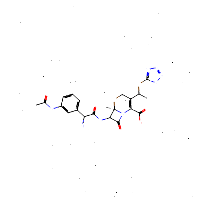 CC(=O)Nc1cccc(C(N)C(=O)NC2C(=O)N3C(C(=O)O)=C(C(C)Sc4nnn[nH]4)CS[C@@H]23)c1